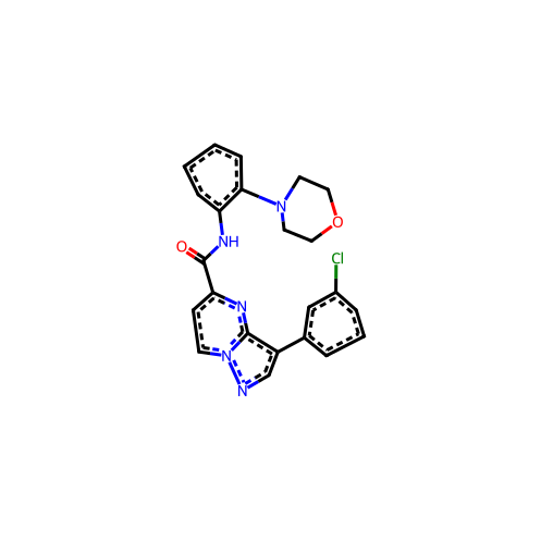 O=C(Nc1ccccc1N1CCOCC1)c1ccn2ncc(-c3cccc(Cl)c3)c2n1